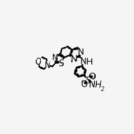 NS(=O)(=O)c1cccc(Nc2ncc3c(n2)-c2sc(CN4CCOCC4)nc2CC3)c1